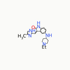 CCN1CCC(Nc2ccc3c(c2)/C(=C/c2nc(C)c[nH]2)C(=O)N3)CC1